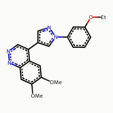 CCOc1cccc(-n2cc(-c3cnnc4cc(OC)c(OC)cc34)cn2)c1